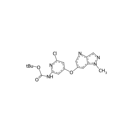 Cn1ncc2ncc(Oc3cc(Cl)nc(NC(=O)OC(C)(C)C)c3)cc21